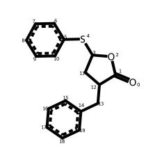 O=C1OC(Sc2ccccc2)CC1Cc1ccccc1